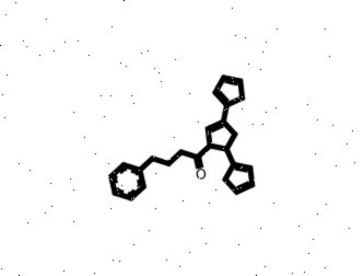 O=C(CCCc1ccccc1)C1C=C(C2=CC=CC2)CC1C1=CC=CC1